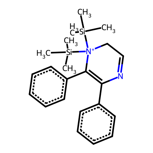 C[Si](C)(C)[N+]1([Si](C)(C)C)CC=NC(c2ccccc2)=C1c1ccccc1